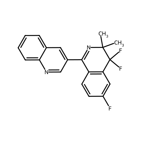 CC1(C)N=C(c2cnc3ccccc3c2)c2ccc(F)cc2C1(F)F